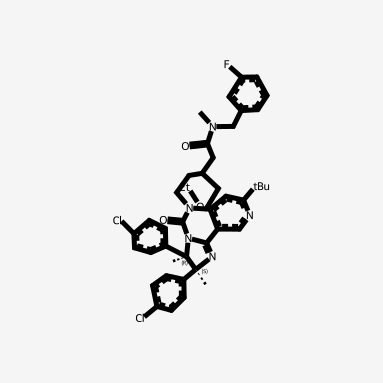 CCOc1cc(C(C)(C)C)ncc1C1=N[C@@](C)(c2ccc(Cl)cc2)[C@@](C)(c2ccc(Cl)cc2)N1C(=O)N1CCC(CC(=O)N(C)Cc2cccc(F)c2)CC1